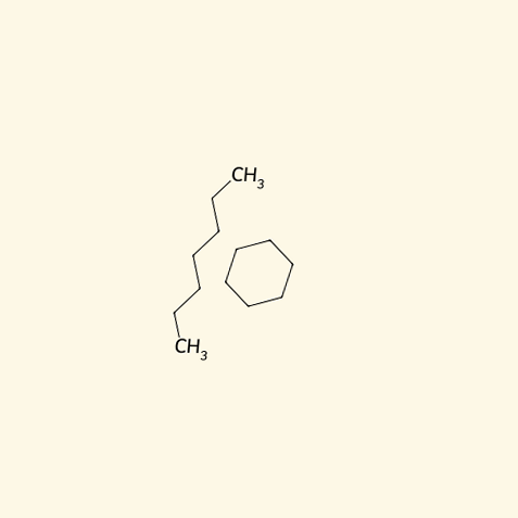 C1CCCCC1.CCCCCCC